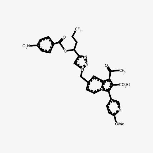 CCOC(=O)c1c(C(=O)C(F)(F)F)c2cc(Cn3cc(C(CCC(F)(F)F)OC(=O)c4ccc([N+](=O)[O-])cc4)nn3)ccn2c1-c1ccc(OC)nc1